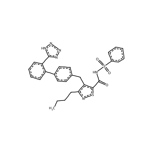 CCCCc1nsc(C(=O)NS(=O)(=O)c2ccccc2)c1Cc1ccc(-c2ccccc2-c2nnn[nH]2)cc1